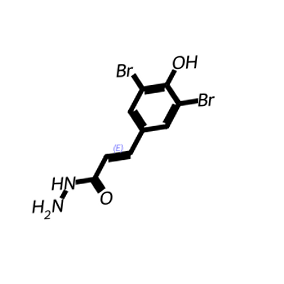 NNC(=O)/C=C/c1cc(Br)c(O)c(Br)c1